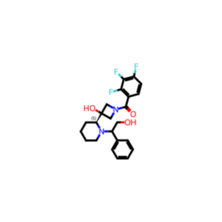 O=C(c1ccc(F)c(F)c1F)N1CC(O)([C@@H]2CCCCN2C(CO)c2ccccc2)C1